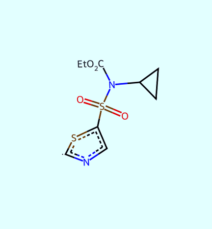 CCOC(=O)N(C1CC1)S(=O)(=O)c1cn[c]s1